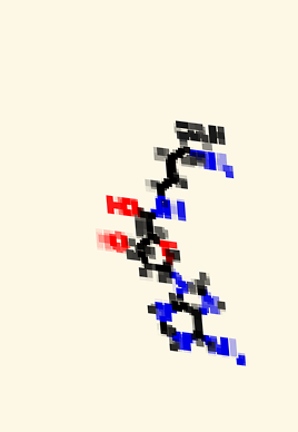 Nc1ncnc2c1ncn2[C@H]1C[C@H](O)[C@@H](C(O)NCC=CC(N)C(=O)O)O1